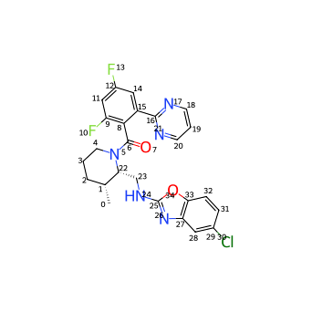 C[C@@H]1CCCN(C(=O)c2c(F)cc(F)cc2-c2ncccn2)[C@@H]1CNc1nc2cc(Cl)ccc2o1